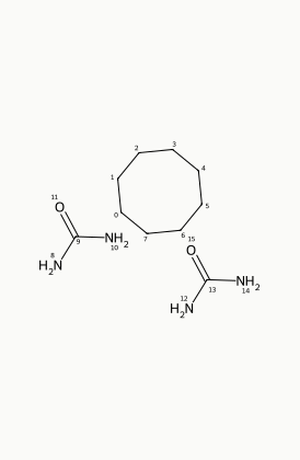 C1CCCCCCC1.NC(N)=O.NC(N)=O